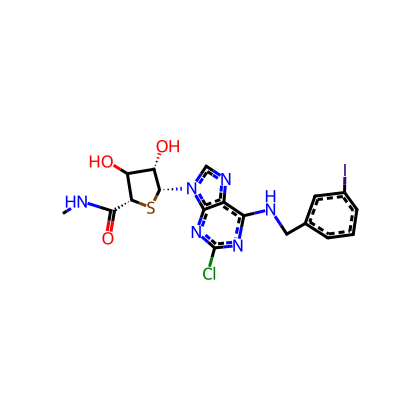 CNC(=O)[C@H]1S[C@@H](n2cnc3c(NCc4cccc(I)c4)nc(Cl)nc32)[C@@H](O)C1O